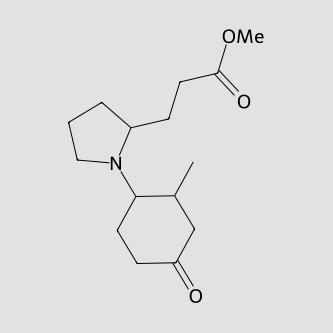 COC(=O)CCC1CCCN1C1CCC(=O)CC1C